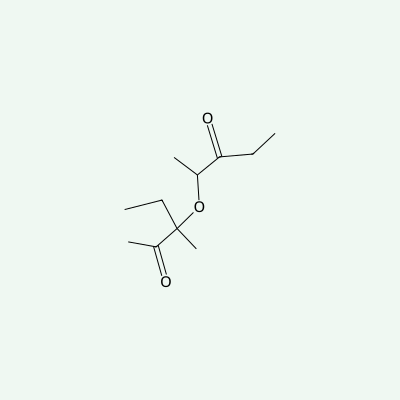 CCC(=O)C(C)OC(C)(CC)C(C)=O